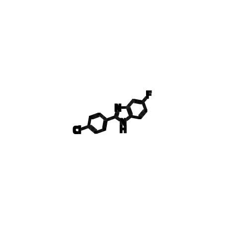 Fc1ccc2[nH]c(-c3ccc(Cl)cc3)nc2c1